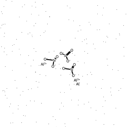 O=[Si]([O-])[O-].O=[Si]([O-])[O-].O=[Si]([O-])[O-].[Al+3].[Al+3].[Al]